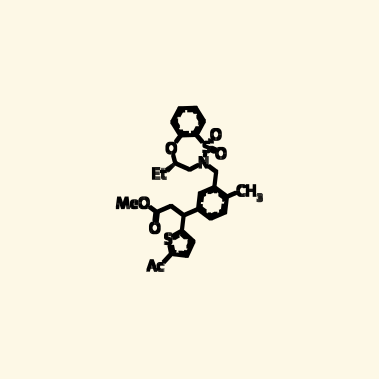 CC[C@@H]1CN(Cc2cc(C(CC(=O)OC)c3ccc(C(C)=O)s3)ccc2C)S(=O)(=O)c2ccccc2O1